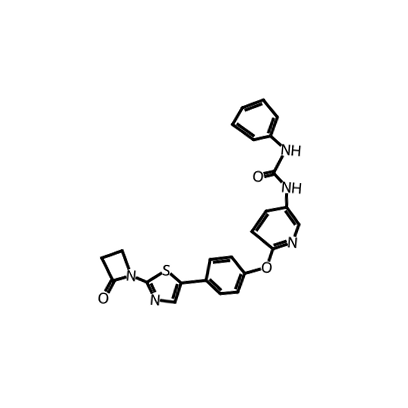 O=C(Nc1ccccc1)Nc1ccc(Oc2ccc(-c3cnc(N4CCC4=O)s3)cc2)nc1